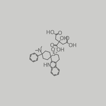 CN(C)C1(c2ccccc2)CCC2(CC1)c1[nH]c3ccccc3c1CC[S+]2[O-].O=C(O)CC(O)(CC(=O)O)C(=O)O